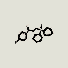 O=C(CCP(=S)(c1ccccc1)c1ccccc1)c1ccc(F)cc1